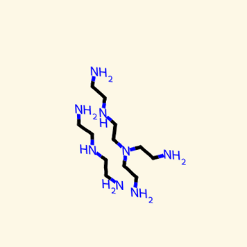 NCCNCCN.NCCNCCN(CCN)CCN